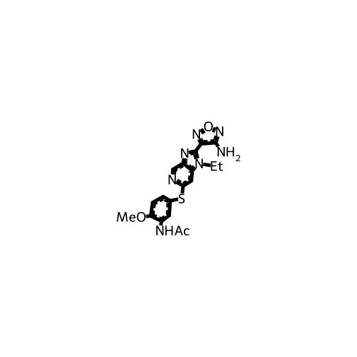 CCn1c(-c2nonc2N)nc2cnc(Sc3ccc(OC)c(NC(C)=O)c3)cc21